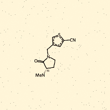 CN[C@H]1CCN(Cc2csc(C#N)c2)C1=O